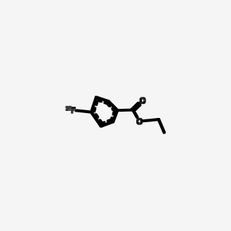 CCOC(=O)c1ccc([18F])cc1